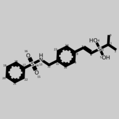 CC(C)[Si](O)(O)C=Cc1ccc(CNS(=O)(=O)c2ccccc2)cc1